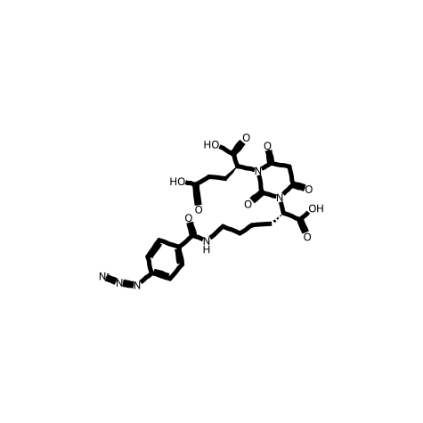 [N-]=[N+]=Nc1ccc(C(=O)NCCCC[C@@H](C(=O)O)N2C(=O)CC(=O)N([C@@H](CCC(=O)O)C(=O)O)C2=O)cc1